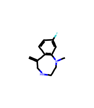 C=C1CNCCN(C)c2cc(F)ccc21